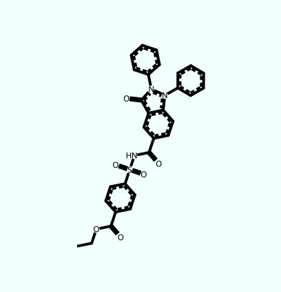 CCOC(=O)c1ccc(S(=O)(=O)NC(=O)c2ccc3c(c2)c(=O)n(-c2ccccc2)n3-c2ccccc2)cc1